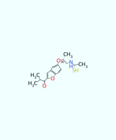 CC(S)NC[C@@H](C)Oc1ccc2oc(C(=O)C(C)C)cc2c1